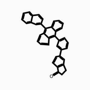 O=C1CCc2cc(-c3cccc(-c4c5ccccc5c(-c5ccc6ccccc6c5)c5ccccc45)c3)ccc21